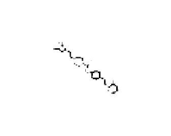 Cc1cc(CCN2CCN(C(=O)Oc3ccc(CCc4ncccc4C)cc3)CC2)on1